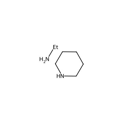 C1CCNCC1.CCN